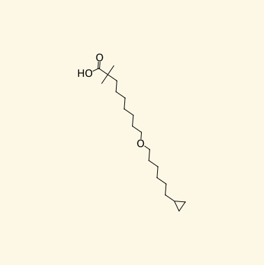 CC(C)(CCCCCCCOCCCCCCC1CC1)C(=O)O